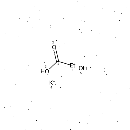 CCC(=O)O.[K+].[OH-]